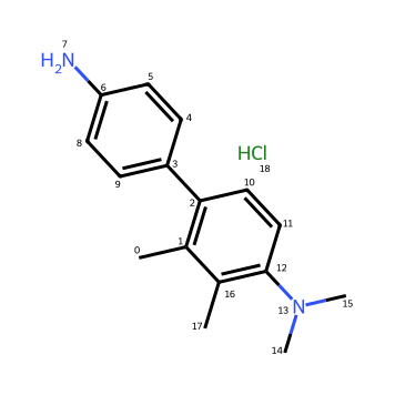 Cc1c(-c2ccc(N)cc2)ccc(N(C)C)c1C.Cl